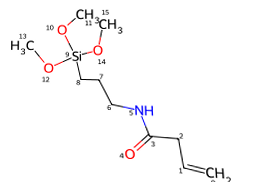 C=CCC(=O)NCCC[Si](OC)(OC)OC